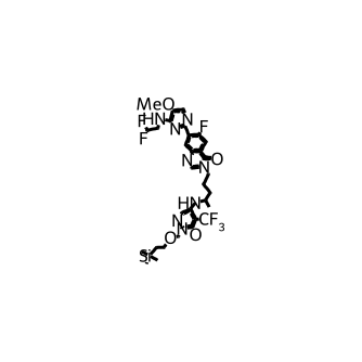 COc1cnc(-c2cc3ncn(CCCC(C)Nc4cnn(COCC[Si](C)(C)C)c(=O)c4C(F)(F)F)c(=O)c3cc2F)nc1NCC(F)F